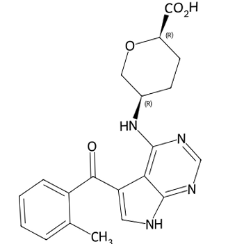 Cc1ccccc1C(=O)c1c[nH]c2ncnc(N[C@@H]3CC[C@H](C(=O)O)OC3)c12